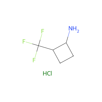 Cl.NC1CCC1C(F)(F)F